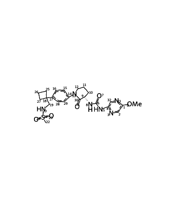 COc1cnc(NC(=O)N[C@H]2CCCN(c3ccc(C4(CNS(C)(=O)=O)CCC4)cc3)C2=O)cn1